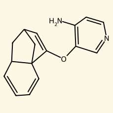 Nc1ccncc1OC1=CC2CC3C=CC=CC13C2